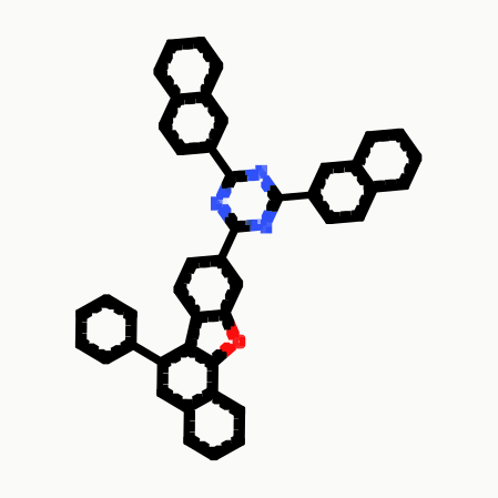 c1ccc(-c2cc3ccccc3c3oc4cc(-c5nc(-c6ccc7ccccc7c6)nc(-c6ccc7ccccc7c6)n5)ccc4c23)cc1